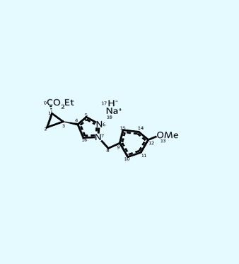 CCOC(=O)[C@H]1C[C@@H]1c1cnn(Cc2ccc(OC)cc2)c1.[H-].[Na+]